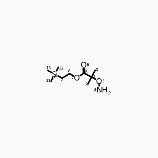 CC(C)(ON)C(=O)OCC[Si](C)(C)C